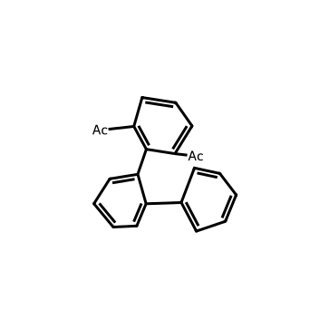 CC(=O)c1cccc(C(C)=O)c1-c1ccccc1-c1ccccc1